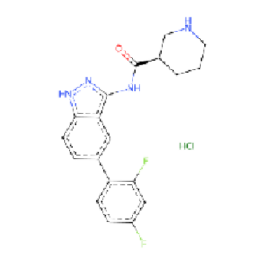 Cl.O=C(Nc1n[nH]c2ccc(-c3ccc(F)cc3F)cc12)[C@@H]1CCCNC1